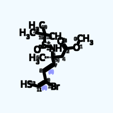 COC(=O)C[C@@](C)(/C=C/C(Br)=C\S)N[S+]([O-])C(C)(C)C